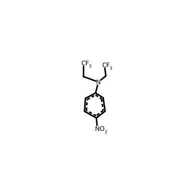 O=[N+]([O-])c1ccc(N(CC(F)(F)F)CC(F)(F)F)cc1